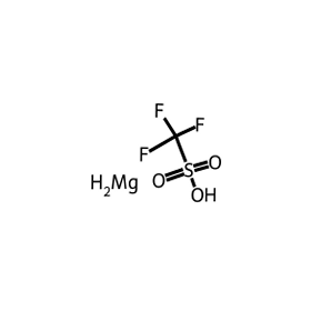 O=S(=O)(O)C(F)(F)F.[MgH2]